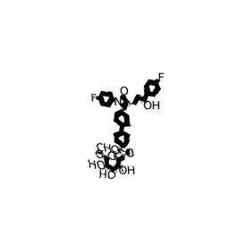 CO[C@@H]1OC(CS(=O)(=O)c2ccc(-c3ccc([C@@H]4[C@@H](CC[C@H](O)c5ccc(F)cc5)C(=O)N4c4ccc(F)cc4)cc3)cc2)[C@H](O)[C@@H](O)[C@@H]1O